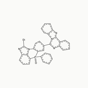 CCc1nc2cccc3c2n1-c1ccc(-c2nc4ccccc4c4nc5ccccc5n24)cc1P3(=O)c1ccccc1